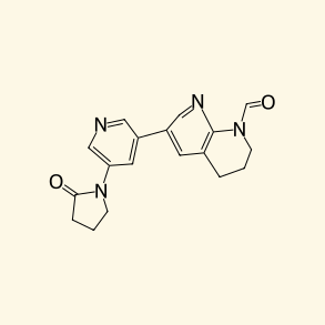 O=CN1CCCc2cc(-c3cncc(N4CCCC4=O)c3)cnc21